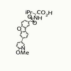 COc1ccc(-c2ccc3c(c2)oc2ccc(S(=O)(=O)N[C@@H](C(=O)O)C(C)C)cc23)cn1